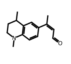 C/C(=C/C=O)c1ccc2c(c1)C(C)CCN2C